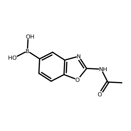 CC(=O)Nc1nc2cc(B(O)O)ccc2o1